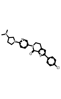 CN(C)C1CCN(c2ccc(N3CCc4cc(-c5ccc(Cl)cc5)sc4C3=O)cn2)C1